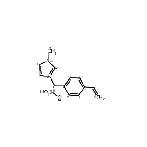 C=Cc1ccc(C[n+]2ccn(C)c2)cc1.O=S(=O)([O-])O